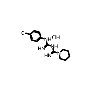 Cl.N=C(NC(=N)N1CCCCC1)Nc1ccc(Cl)cc1